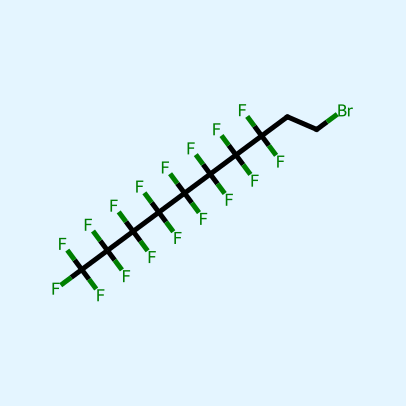 FC(F)(F)C(F)(F)C(F)(F)C(F)(F)C(F)(F)C(F)(F)C(F)(F)C(F)(F)CCBr